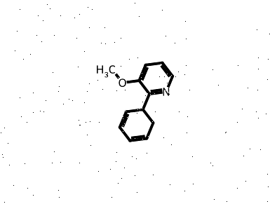 COc1cccnc1C1C=CC=CC1